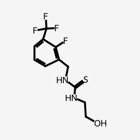 OCCNC(=S)NCc1cccc(C(F)(F)F)c1F